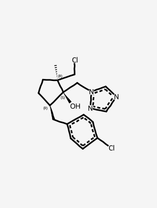 C[C@@]1(CCl)CC[C@H](Cc2ccc(Cl)cc2)[C@@]1(O)Cn1cncn1